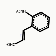 CC(=O)Nc1ccccc1/C=C/[C]=O